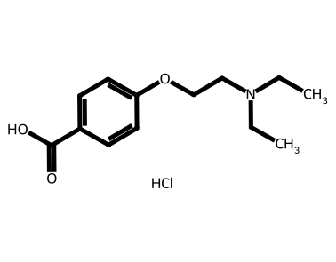 CCN(CC)CCOc1ccc(C(=O)O)cc1.Cl